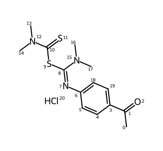 CC(=O)c1ccc(/N=C(/SC(=S)N(C)C)N(C)C)cc1.Cl